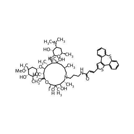 CO[C@]1(C)C[C@H](O[C@H]2[C@H](C)[C@@H](O[C@@H]3O[C@H](C)C[C@H](N(C)C)[C@H]3O)[C@](C)(O)C[C@@H](C)CN(CCCNC(=O)/C=C/c3cc4c(s3)-c3ccccc3Sc3ccccc3-4)[C@H](C)[C@@H](O)[C@](C)(O)[C@@H](I)OC(=O)[C@@H]2C)O[C@@H](C)[C@@H]1O